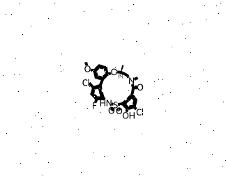 COc1ccc2c(c1)-c1cc(c(F)cc1Cl)NS(=O)(=O)c1cc(cc(Cl)c1O)C(=O)N(C)C[C@H](C)O2